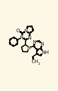 C=Cc1c[nH]c2ncnc(N3CCCC3c3nc4cccn4c(=O)n3-c3ccccc3)c12